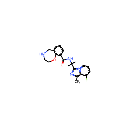 CC(C)(NC(=O)c1cccc2c1OCCNC2)c1nc(C(F)(F)F)c2c(F)cccn12